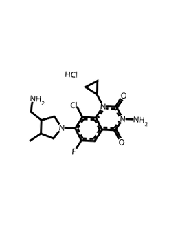 CC1CN(c2c(F)cc3c(=O)n(N)c(=O)n(C4CC4)c3c2Cl)CC1CN.Cl